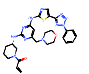 C=CC(=O)N1CCC[C@H](Nc2nc(CN3CCOCC3)cc(Nc3ncc(-c4nnn(-c5ccccc5)n4)s3)n2)C1